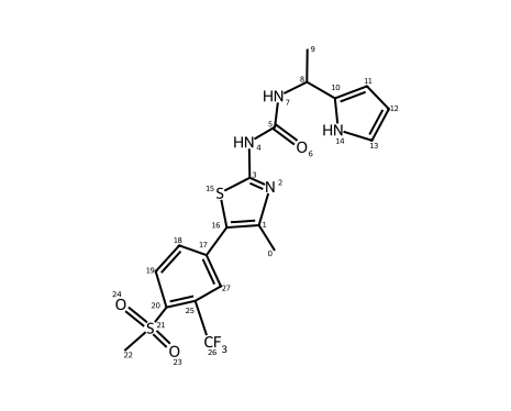 Cc1nc(NC(=O)NC(C)c2ccc[nH]2)sc1-c1ccc(S(C)(=O)=O)c(C(F)(F)F)c1